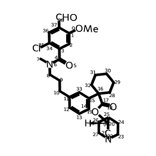 COc1cc(C(=O)N(C)CCCc2cccc(C3(C(=O)O[C@H]4CN5CCC4CC5)CCCCC3)c2)c(Cl)cc1C=O